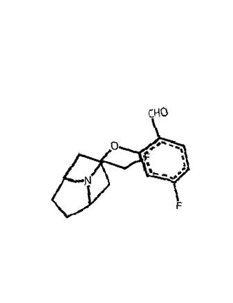 O=Cc1ccc(F)cc1OC1CC2CCC(C1)N2CCF